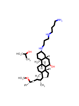 CC(C)[C@@H](CC[C@@H](C)[C@H]1CC[C@H]2[C@@H]3[C@H](O)C[C@H]4C[C@@H](NCCCNCCCCN)CC[C@]4(C)[C@H]3CC[C@]12C)OS(=O)(=O)O.CC(O)C(=O)O